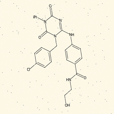 CC(C)n1c(=O)nc(Nc2ccc(C(=O)NCCO)cc2)n(Cc2ccc(Cl)cc2)c1=O